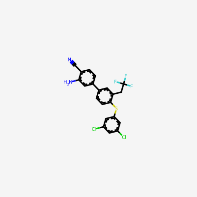 N#Cc1ccc(-c2ccc(Sc3cc(Cl)cc(Cl)c3)c(CC(F)(F)F)c2)cc1N